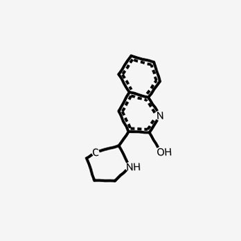 Oc1nc2ccccc2cc1C1CCCCN1